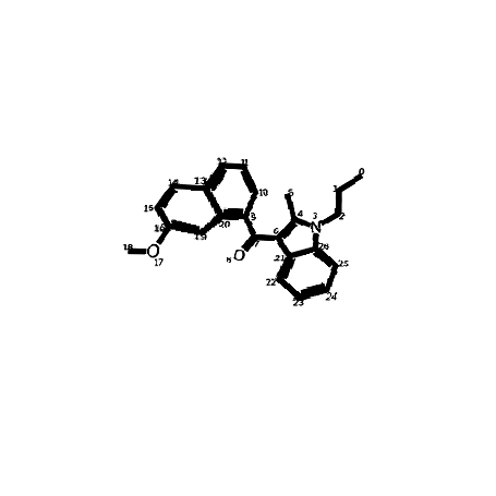 CCCn1c(C)c(C(=O)c2cccc3ccc(OC)cc23)c2ccccc21